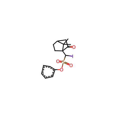 CC1(C)C2CCC1(C(I)S(=O)(=O)Oc1ccccc1)C(=O)C2